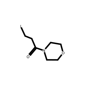 O=C(CCI)N1CCOCC1